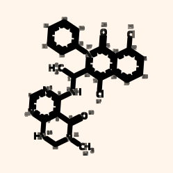 CC(Nc1ncnc2c1C(=O)N(C)CN2)c1c(Cl)c2cccc(Cl)c2c(=O)n1-c1ccccc1